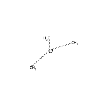 CCCCCCCCCCCCCC[n+]1ccn(CCCCCCCCCCCCC)c1CCCCCCC